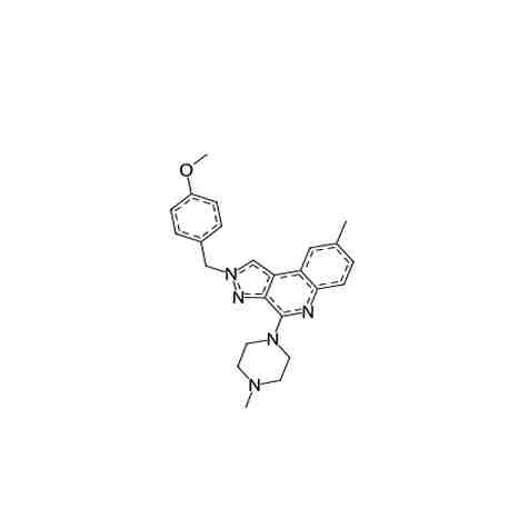 COc1ccc(Cn2cc3c(n2)c(N2CCN(C)CC2)nc2ccc(C)cc23)cc1